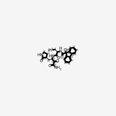 CC(C)C[C@@H](NC(=O)C1(O)c2ccccc2-c2ccccc21)C(=O)N[C@H](C[C@@H]1CCNC1=O)C(=O)C(N)=O